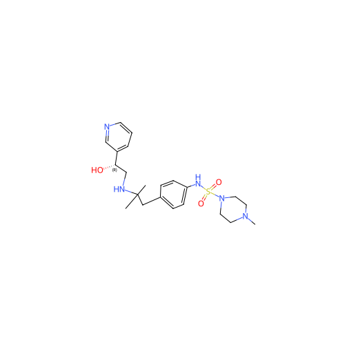 CN1CCN(S(=O)(=O)Nc2ccc(CC(C)(C)NC[C@H](O)c3cccnc3)cc2)CC1